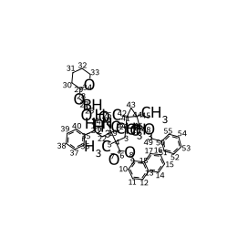 CC(C)(CC(C)(C(=O)Oc1cccc2ccccc12)C(C)(N)CC(C(=O)OBOC1CCCCO1)c1ccccc1)C1(C)CC1(C)C(=O)OCc1ccccc1